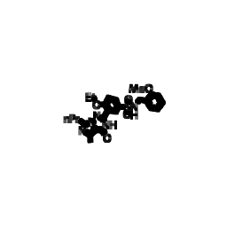 CCCc1nc(C)c2c(=O)[nH]c(-c3cc(S(=O)(=O)NCc4ccccc4OC)ccc3OCC)nn12